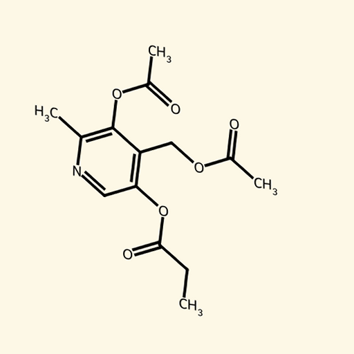 CCC(=O)Oc1cnc(C)c(OC(C)=O)c1COC(C)=O